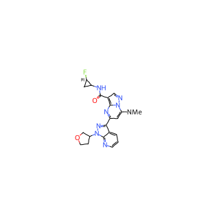 CNc1cc(-c2nn(C3CCOC3)c3ncccc23)nc2c(C(=O)NC3C[C@H]3F)cnn12